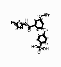 CC(C)Oc1cc(Oc2ccc(P(=O)(O)O)cc2)cc(C(=O)Nc2ncc(F)s2)c1